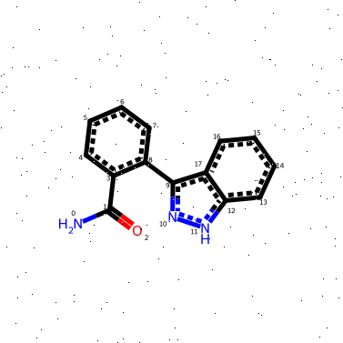 NC(=O)c1ccccc1-c1n[nH]c2ccccc12